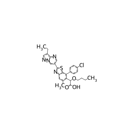 CCCCOC(C(=O)O)c1c(C)cc2nc(-c3cnc4c(CC)cnn4c3)sc2c1-c1ccc(Cl)cc1